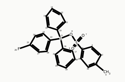 Cc1ccc(S(=O)(=O)OS(c2ccccc2)(c2ccccc2)c2ccc(F)cc2)cc1